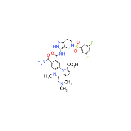 CN(C)CCN(C)c1cc(C(N)=O)c(C(=O)Nc2[nH]nc3c2CN(S(=O)(=O)c2cc(F)cc(F)c2)CC3)cc1-n1cccc1C(=O)O